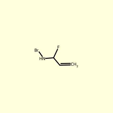 C=CC(F)NBr